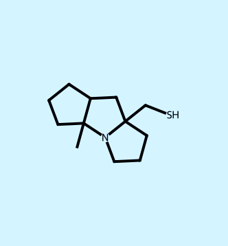 CC12CCCC1CC1(CS)CCCN12